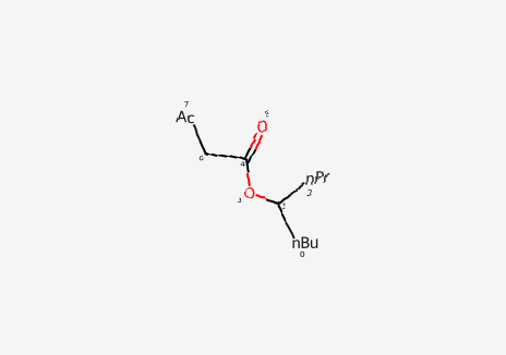 CCCCC(CCC)OC(=O)CC(C)=O